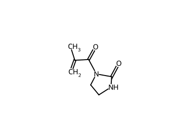 C=C(C)C(=O)N1CCNC1=O